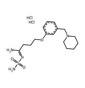 Cl.Cl.NC(CCCOc1cccc(CN2CCCCC2)c1)=NS(N)(=O)=O